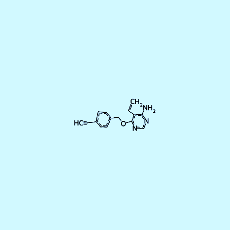 C#Cc1ccc(COc2ncnc(N)c2C=C)cc1